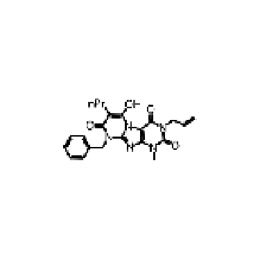 C=CCn1c(=O)c2c(nc3n(Cc4ccccc4)c(=O)c(CCC)c(O)n23)n(C)c1=O